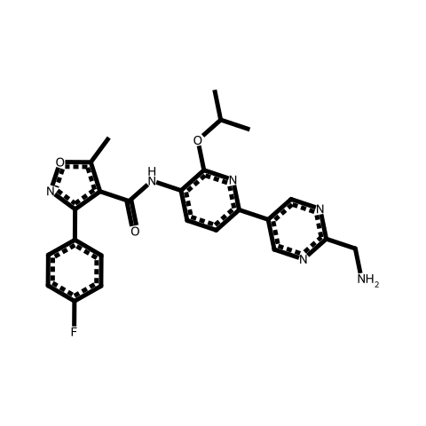 Cc1onc(-c2ccc(F)cc2)c1C(=O)Nc1ccc(-c2cnc(CN)nc2)nc1OC(C)C